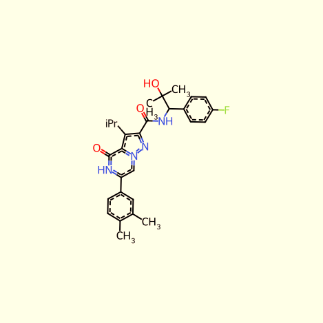 Cc1ccc(-c2cn3nc(C(=O)NC(c4ccc(F)cc4)C(C)(C)O)c(C(C)C)c3c(=O)[nH]2)cc1C